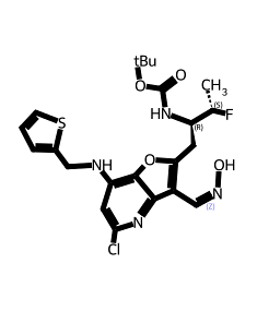 C[C@H](F)[C@@H](Cc1oc2c(NCc3cccs3)cc(Cl)nc2c1/C=N\O)NC(=O)OC(C)(C)C